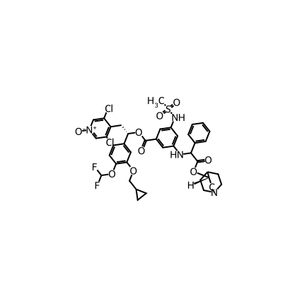 CS(=O)(=O)Nc1cc(NC(C(=O)O[C@H]2CN3CCC2CC3)c2ccccc2)cc(C(=O)O[C@@H](Cc2c(Cl)c[n+]([O-])cc2Cl)c2ccc(OC(F)F)c(OCC3CC3)c2)c1